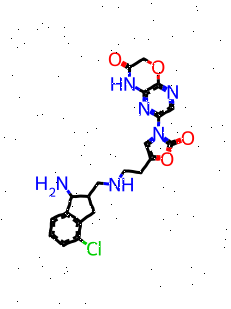 NC1c2cccc(Cl)c2CC1CNCCc1cn(-c2cnc3c(n2)NC(=O)CO3)c(=O)o1